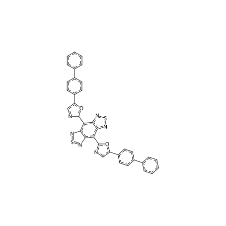 c1ccc(-c2ccc(-c3cnc(-c4c5c(c(-c6ncc(-c7ccc(-c8ccccc8)cc7)o6)c6nsnc46)N=S=N5)o3)cc2)cc1